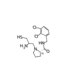 NC(CS)CN1CCC[C@H]1C(=O)NCc1cccc(Cl)c1Cl